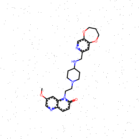 COc1cnc2ccc(=O)n(CCN3CCC(NCc4cc5c(cn4)OCCCO5)CC3)c2c1